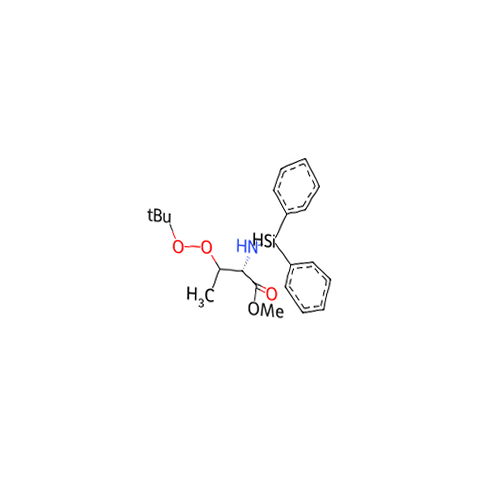 COC(=O)[C@@H](N[SiH](c1ccccc1)c1ccccc1)C(C)OOC(C)(C)C